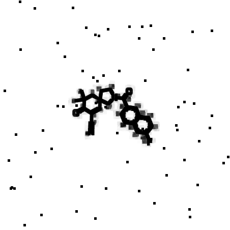 CC1(C)C[C@@]2(C=C(C#N)C1=O)CCN(C(=O)c1ccc3cc(F)ccc3c1)C2